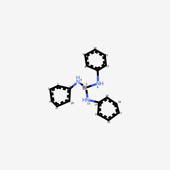 c1ccc([NH][Bi]([NH]c2ccccc2)[NH]c2ccccc2)cc1